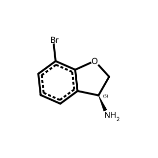 N[C@@H]1COc2c(Br)cccc21